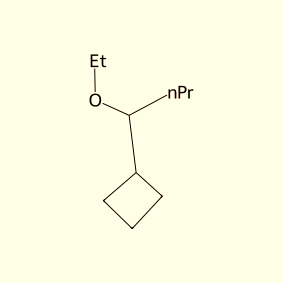 [CH2]CCC(OCC)C1CCC1